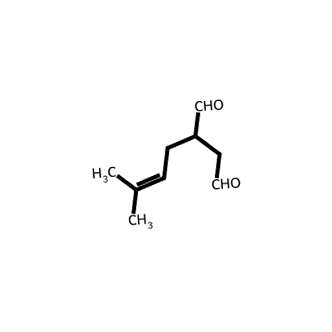 CC(C)=CCC(C=O)CC=O